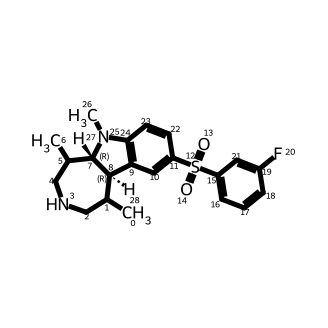 CC1CNCC(C)[C@H]2[C@H]1c1cc(S(=O)(=O)c3cccc(F)c3)ccc1N2C